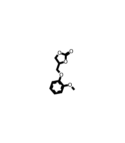 COc1ccccc1OCC1COC(=O)O1